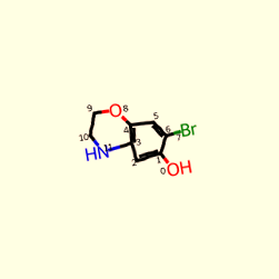 Oc1cc2c(cc1Br)OCCN2